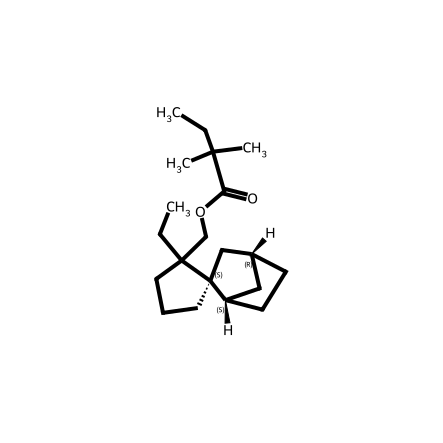 CCC(C)(C)C(=O)OCC1(CC)CCC[C@@]12C[C@@H]1CC[C@H]2C1